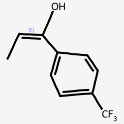 C/C=C(/O)c1ccc(C(F)(F)F)cc1